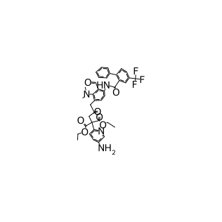 CCOC(=O)C(CC(=O)Cc1ccc(NC(=O)c2cc(C(F)(F)F)ccc2-c2ccccc2)c(C=O)c1N(C)C)(C(=O)OCC)c1ccc(N)cn1